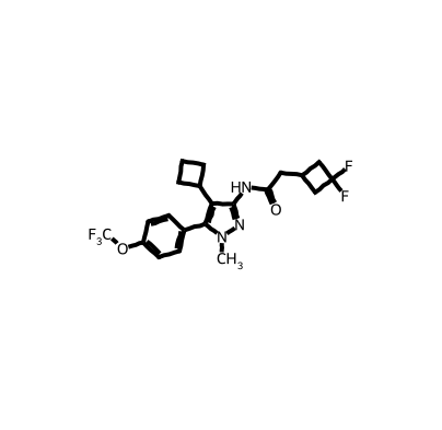 Cn1nc(NC(=O)CC2CC(F)(F)C2)c(C2CCC2)c1-c1ccc(OC(F)(F)F)cc1